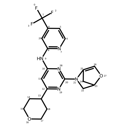 FC(F)(F)c1ccnc(Nc2cc(C3CCOCC3)nc(N3CC4CC3=CO4)n2)c1